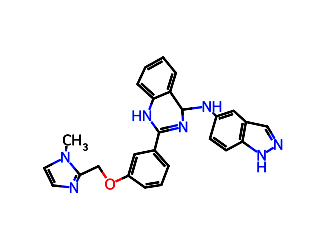 Cn1ccnc1COc1cccc(C2=NC(Nc3ccc4[nH]ncc4c3)c3ccccc3N2)c1